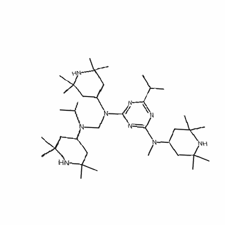 CC(C)c1nc(N(C)C2CC(C)(C)NC(C)(C)C2)nc(N(CN(C(C)C)C2CC(C)(C)NC(C)(C)C2)C2CC(C)(C)NC(C)(C)C2)n1